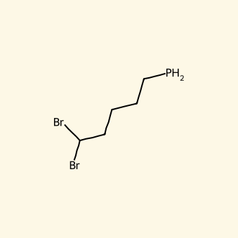 PCCCCC(Br)Br